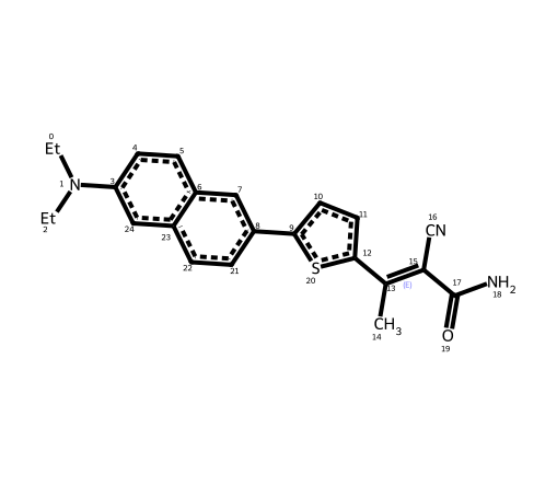 CCN(CC)c1ccc2cc(-c3ccc(/C(C)=C(\C#N)C(N)=O)s3)ccc2c1